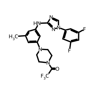 Cc1cc(Nc2ncn(-c3cc(F)cc(F)c3)n2)cc(N2CCN(C(=O)C(F)(F)F)CC2)c1